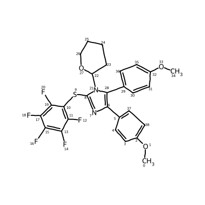 COc1ccc(-c2nc(Sc3c(F)c(F)c(F)c(F)c3F)n(C3CCCCO3)c2-c2ccc(OC)cc2)cc1